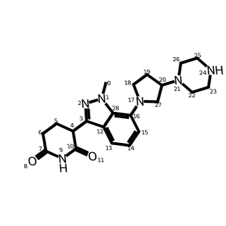 Cn1nc(C2CCC(=O)NC2=O)c2cccc(N3CCC(N4CCNCC4)C3)c21